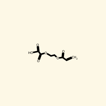 C=CC(=O)OCCOC(=O)C(=O)O